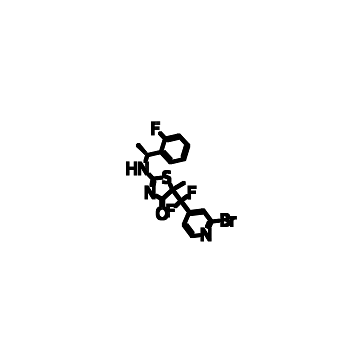 C[C@H](NC1=NC(=O)C(C)(C(F)(F)c2ccnc(Br)c2)S1)c1ccccc1F